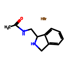 Br.CC(=O)NCC1NCc2ccccc21